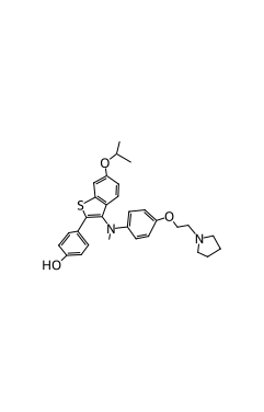 CC(C)Oc1ccc2c(N(C)c3ccc(OCCN4CCCC4)cc3)c(-c3ccc(O)cc3)sc2c1